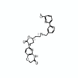 COc1cccc(-c2cc(CNCC[C@H]3CN(c4ccc5c(n4)NC(=O)CO5)C(=O)O3)ccn2)n1